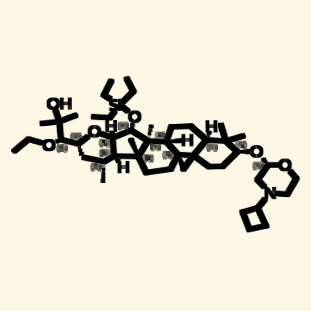 CCO[C@@H]([C@H]1C[C@@H](C)[C@H]2[C@H](O1)[C@H](O[Si](CC)(CC)CC)[C@@]1(C)[C@@H]3CC[C@H]4C(C)(C)[C@@H](O[C@H]5CN(C6CCC6)CCO5)CCC45C[C@@]35CC[C@]21C)C(C)(C)O